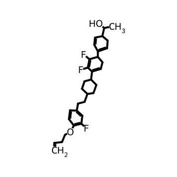 C=CCCOc1ccc(CCC2CCC(C3=CCC(C4=CCC(C(C)O)C=C4)C(F)=C3F)CC2)cc1F